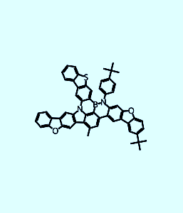 Cc1cc2c3c4c1c1cc5oc6ccccc6c5cc1n4-c1cc4c(cc1B3N(c1ccc(C(C)(C)C)cc1)c1cc3oc5ccc(C(C)(C)C)cc5c3cc1-2)sc1ccccc14